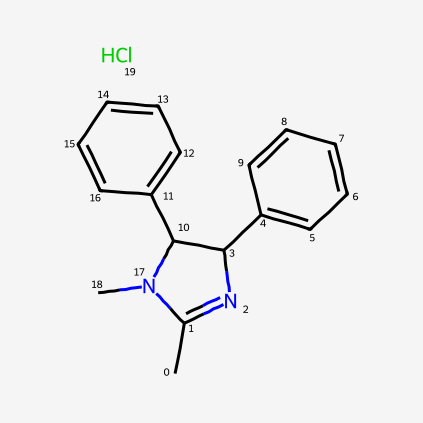 CC1=NC(c2ccccc2)C(c2ccccc2)N1C.Cl